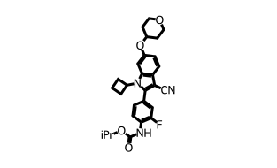 CC(C)OC(=O)Nc1ccc(-c2c(C#N)c3ccc(OC4CCOCC4)cc3n2C2CCC2)cc1F